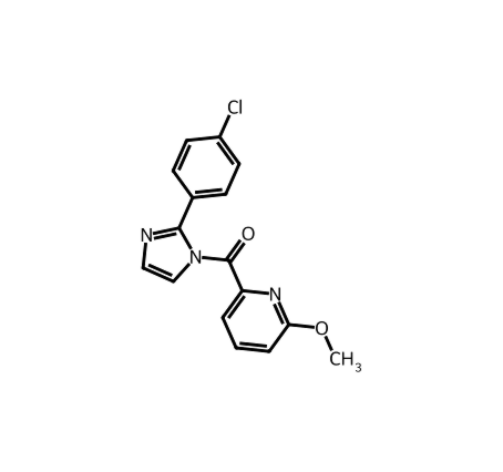 COc1cccc(C(=O)n2ccnc2-c2ccc(Cl)cc2)n1